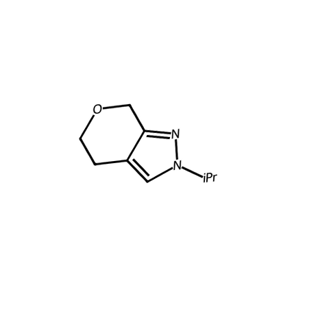 CC(C)n1cc2c(n1)COCC2